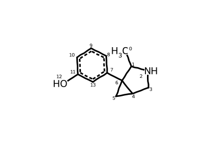 CC1NCC2CC21c1cccc(O)c1